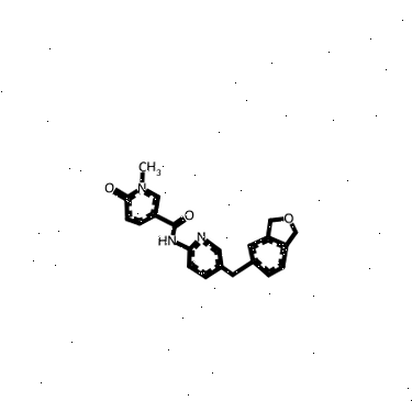 Cn1cc(C(=O)Nc2ccc(Cc3ccc4c(c3)COC4)cn2)ccc1=O